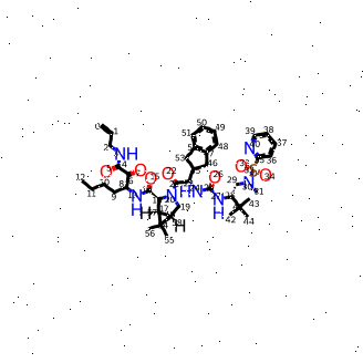 C=CCNC(=O)C(=O)C(CCCC)NC(=O)[C@@H]1[C@@H]2[C@H](CN1C(=O)[C@@H](NC(=O)N[C@H](CN(C)S(=O)(=O)c1ccccn1)C(C)(C)C)C1Cc3ccccc3C1)C2(C)C